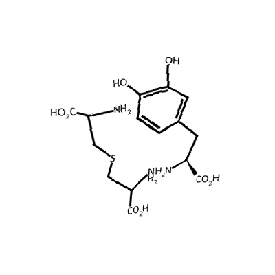 NC(CSCC(N)C(=O)O)C(=O)O.N[C@@H](Cc1ccc(O)c(O)c1)C(=O)O